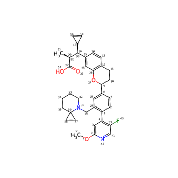 COc1cc(-c2ccc(C3CCc4ccc([C@H](C5CC5)[C@H](C)C(=O)O)cc4O3)cc2CN2CCCCC23CC3)c(F)cn1